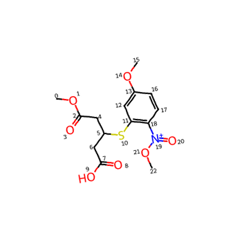 COC(=O)CC(CC(=O)O)Sc1cc(OC)ccc1[N+](=O)OC